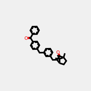 CC12CCC(C(Cc3cccc(Cc4ccc(C(=O)c5ccccc5)cc4)c3)C1=O)C2(C)C